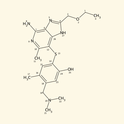 CCOCc1nc2c(N)nc(C)c(Sc3cc(C)c(CN(C)C)cc3O)c2[nH]1